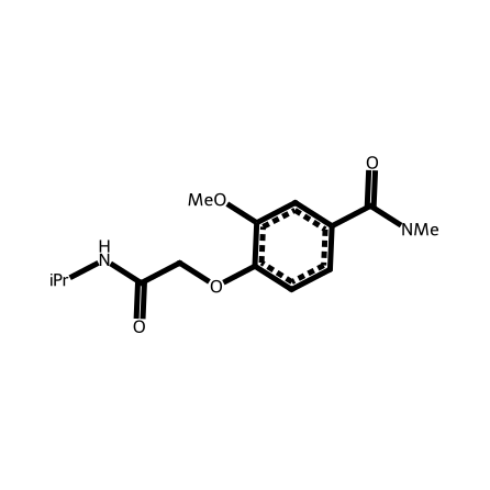 CNC(=O)c1ccc(OCC(=O)NC(C)C)c(OC)c1